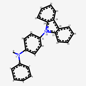 CN(c1ccccc1)c1ccc(-n2c3ccccc3c3ccccc32)cc1